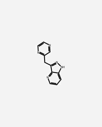 c1cnc2c(Cc3cnccn3)n[nH]c2c1